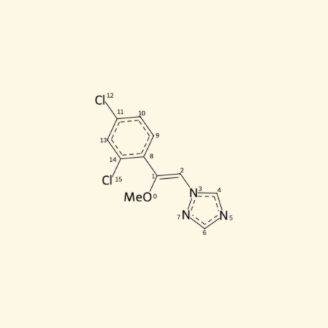 COC(=Cn1cncn1)c1ccc(Cl)cc1Cl